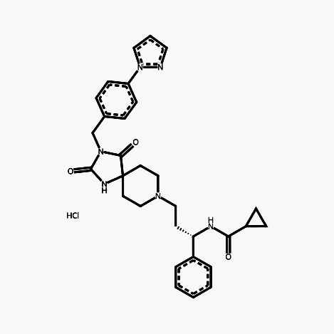 Cl.O=C(N[C@@H](CCN1CCC2(CC1)NC(=O)N(Cc1ccc(-n3cccn3)cc1)C2=O)c1ccccc1)C1CC1